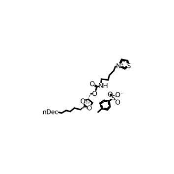 CCCCCCCCCCCCCCC[C@@H]1OC[C@@H](COC(=O)NCCCCC[n+]2ccsc2)O1.Cc1ccc(S(=O)(=O)[O-])cc1